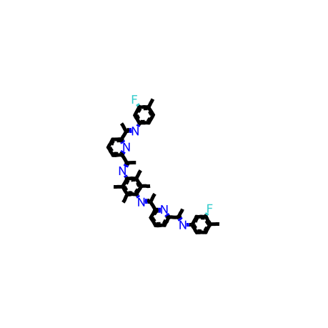 C/C(=N\c1ccc(C)c(F)c1)c1cccc(/C(C)=N/c2c(C)c(C)c(/N=C(\C)c3cccc(/C(C)=N/c4ccc(C)c(F)c4)n3)c(C)c2C)n1